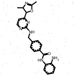 CC1=NC(C)C(c2ccnc(NCc3ccc(C(=O)Nc4ccccc4N)cc3)n2)O1